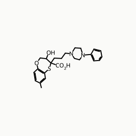 Cc1ccc2c(c1)SC(CCCN1CCN(c3ccccc3)CC1)(C(=O)O)C(O)CO2